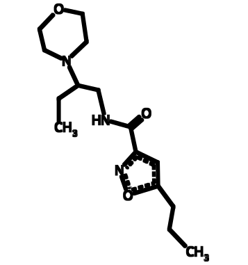 CCCc1cc(C(=O)NCC(CC)N2CCOCC2)no1